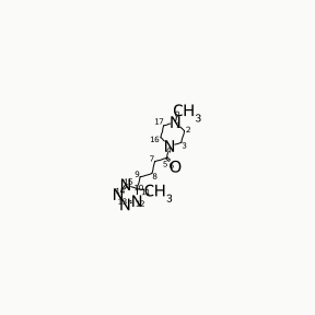 CN1CCN(C(=O)CCCC2(C)N=NN=N2)CC1